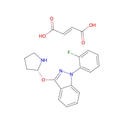 Fc1ccccc1-n1nc(O[C@@H]2CCCN2)c2ccccc21.O=C(O)C=CC(=O)O